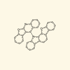 c1ccc2c(-n3c4ccccc4c4ccc5c6ccccc6oc5c43)c3c(nc2c1)oc1ccccc13